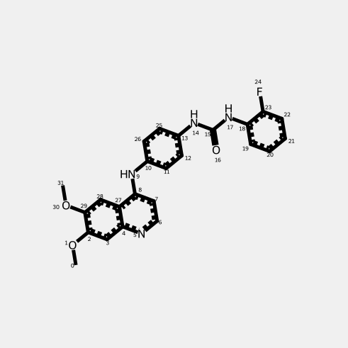 COc1cc2nccc(Nc3ccc(NC(=O)Nc4ccccc4F)cc3)c2cc1OC